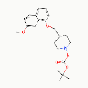 COc1ccc2cccc(OCC3CCN(OC(=O)OC(C)(C)C)CC3)c2c1